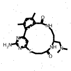 Cc1cc(C)c2cc1C(=O)NCCC(CN(C)C)NC(=O)CCSc1cc-2nc(N)n1